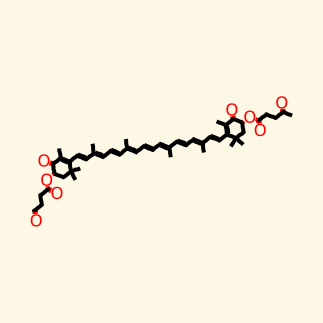 CC(=O)CCC(=O)OC1CC(C)(C)C(/C=C/C(C)=C/C=C/C(C)=C/C=C/C=C(C)/C=C/C=C(C)/C=C/C2=C(C)C(=O)C(OC(=O)CCC=O)CC2(C)C)=C(C)C1=O